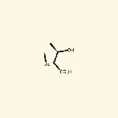 CC(C)=O.C[C@@H](O)CC(=O)O